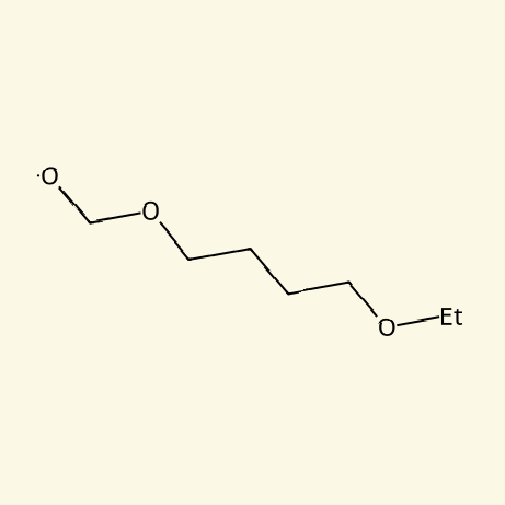 CCOCCCCOC[O]